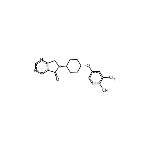 N#Cc1ccc(O[C@H]2CC[C@H](N3Cc4ncncc4C3=O)CC2)cc1C(F)(F)F